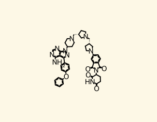 Nc1ncnc2c1c(-c1ccc(Oc3ccccc3)cc1)nn2C1CCN(C[C@@H]2CCN(C[C@H]3CCN(c4ccc5c(c4)C(=O)N(C4CCC(=O)NC4=O)C5=O)C3)C2)CC1